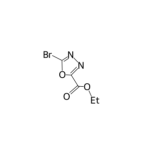 CCOC(=O)c1nnc(Br)o1